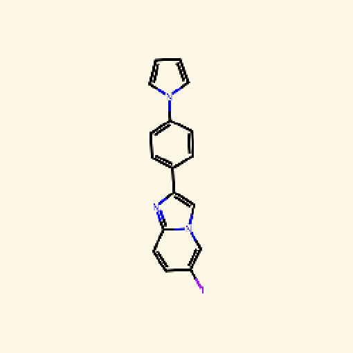 Ic1ccc2nc(-c3ccc(-n4cccc4)cc3)cn2c1